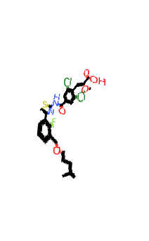 COC(=Cc1c(Cl)cc(C(=O)Nc2nc(-c3cccc(COCCCC(C)C)c3F)cs2)cc1Cl)C(=O)O